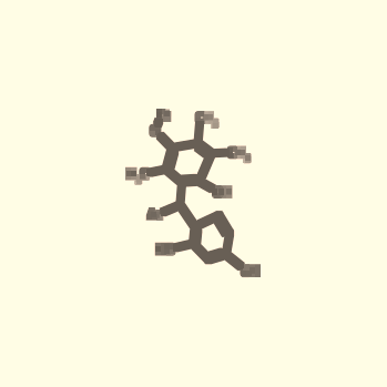 CCOc1c(C)c(C)c(O)c(C(C(C)=O)c2ccc(O)cc2O)c1C